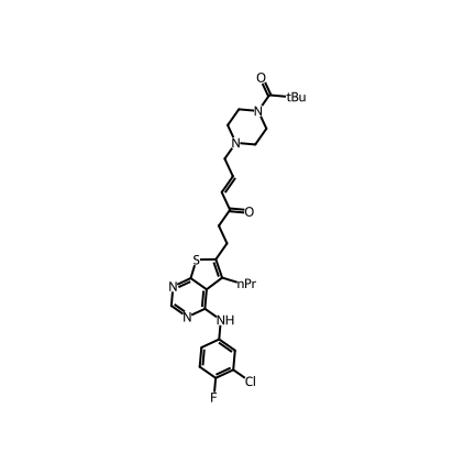 CCCc1c(CCC(=O)/C=C/CN2CCN(C(=O)C(C)(C)C)CC2)sc2ncnc(Nc3ccc(F)c(Cl)c3)c12